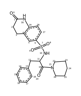 O=C1CCc2cc(S(=O)(=O)NC(Cc3ccccc3)C(=O)N3CCCCC3)ccc2N1